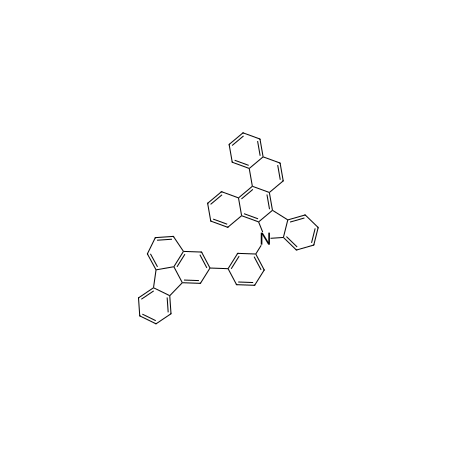 c1cc(-c2cc3c4c(cccc4c2)-c2ccccc2-3)cc(-n2c3ccccc3c3c4ccc5ccccc5c4c4ccccc4c32)c1